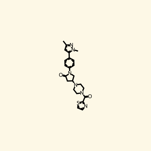 Cc1cc(-c2ccc(N3CC(N4CCN(C(=O)c5nccs5)CC4)CC3=O)cc2)n(C)n1